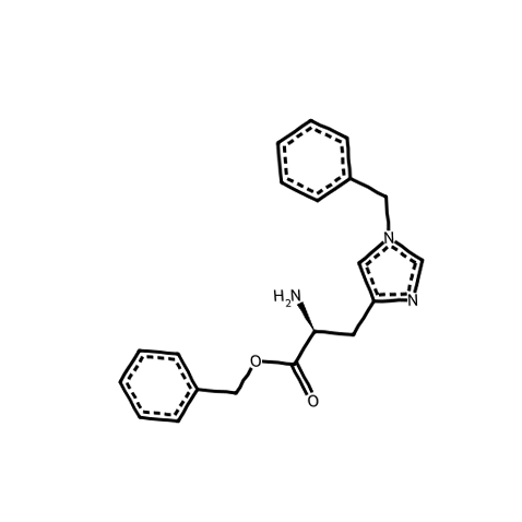 N[C@@H](Cc1cn(Cc2ccccc2)cn1)C(=O)OCc1ccccc1